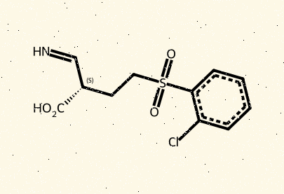 N=C[C@H](CCS(=O)(=O)c1ccccc1Cl)C(=O)O